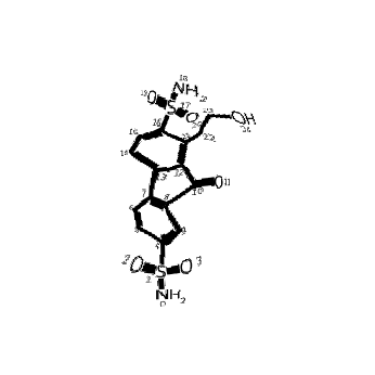 NS(=O)(=O)c1ccc2c(c1)C(=O)c1c-2ccc(S(N)(=O)=O)c1CCO